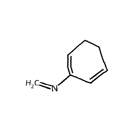 C=NC1=CCCC=C1